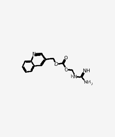 N=C(N)NCOC(=O)OCc1cnc2ccccc2c1